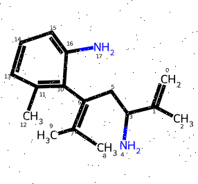 C=C(C)C(N)CC(=C(C)C)c1c(C)cccc1N